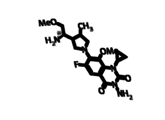 COC[C@H](N)C1CN(c2c(F)cc3c(=O)n(N)c(=O)n(C4CC4)c3c2OC)CC1C